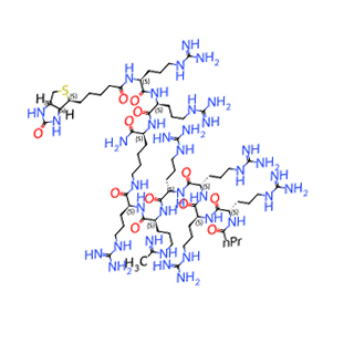 CCCC(=O)N[C@@H](CCCNC(=N)N)C(=O)N[C@@H](CCCNC(=N)N)C(=O)N[C@@H](CCCNC(=N)N)C(=O)N[C@@H](CCCNC(=N)N)C(=O)N[C@@H](CCCNC(C)=N)C(=O)N[C@@H](CCCNC(=N)N)C(=O)NCCCC[C@H](NC(=O)[C@H](CCCNC(=N)N)NC(=O)[C@H](CCCNC(=N)N)NC(=O)CCCC[C@@H]1SC[C@@H]2NC(=O)N[C@@H]21)C(N)=O